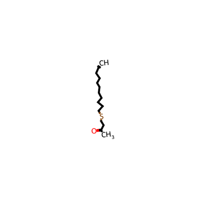 C#CCCCCCCCCCSCCC(C)=O